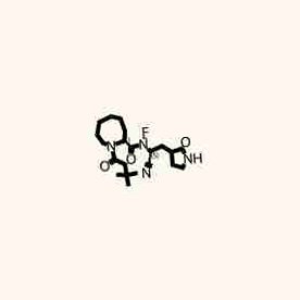 CC(C)(C)CC(=O)N1CCCCCC[C@H]1C(=O)N(F)[C@H](C#N)CC1CCNC1=O